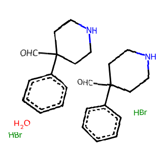 Br.Br.O.O=CC1(c2ccccc2)CCNCC1.O=CC1(c2ccccc2)CCNCC1